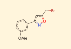 COc1cccc(-c2cc(CBr)on2)c1